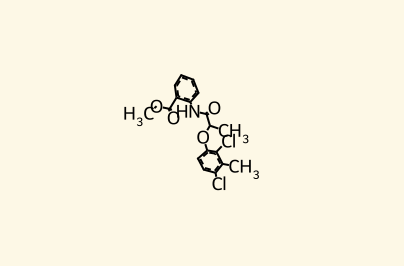 COC(=O)c1ccccc1NC(=O)C(C)Oc1ccc(Cl)c(C)c1Cl